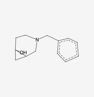 OC12CCN(Cc3ccccc3)CC1C2